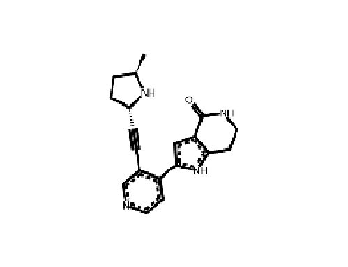 C[C@@H]1CC[C@@H](C#Cc2cnccc2-c2cc3c([nH]2)CCNC3=O)N1